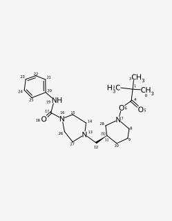 CC(C)(C)C(=O)ON1CCC[C@@H](CN2CCN(C(=O)Nc3ccccc3)CC2)C1